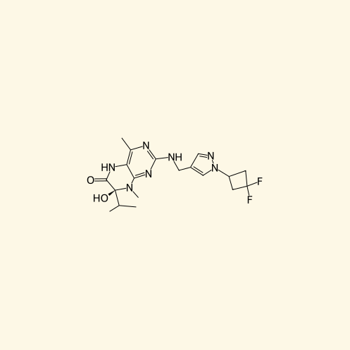 Cc1nc(NCc2cnn(C3CC(F)(F)C3)c2)nc2c1NC(=O)[C@@](O)(C(C)C)N2C